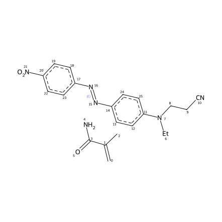 C=C(C)C(N)=O.CCN(CCC#N)c1ccc(/N=N/c2ccc([N+](=O)[O-])cc2)cc1